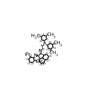 Cc1cc(C)cc(P(CC/N=C2/C(=N/c3c(C)cccc3C(C)C)c3cccc4cccc2c34)c2cc(C)cc(C)c2)c1